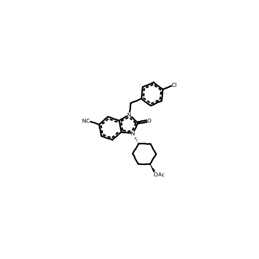 CC(=O)O[C@H]1CC[C@H](n2c(=O)n(Cc3ccc(Cl)cc3)c3cc(C#N)ccc32)CC1